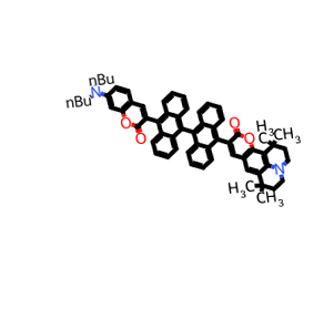 CCCCN(CCCC)c1ccc2cc(-c3c4ccccc4c(-c4c5ccccc5c(-c5cc6cc7c8c(c6oc5=O)C(C)(C)CCN8CCC7(C)C)c5ccccc45)c4ccccc34)c(=O)oc2c1